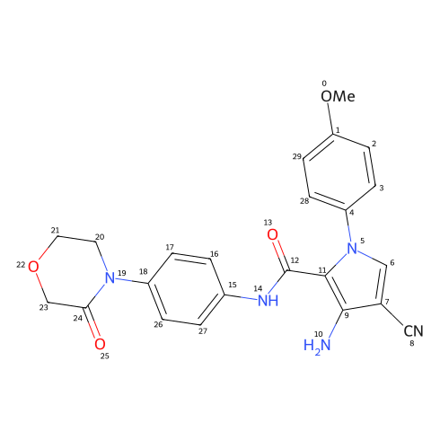 COc1ccc(-n2cc(C#N)c(N)c2C(=O)Nc2ccc(N3CCOCC3=O)cc2)cc1